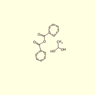 CC(O)O.O=C(OC(=O)c1ccccc1)c1ccccc1